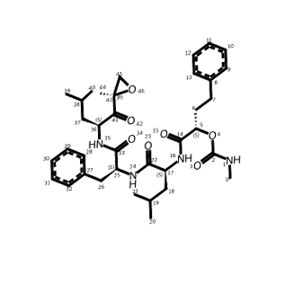 CNC(=O)O[C@@H](CCc1ccccc1)C(=O)N[C@@H](CC(C)C)C(=O)N[C@@H](Cc1ccccc1)C(=O)N[C@@H](CC(C)C)C(=O)[C@@]1(C)CO1